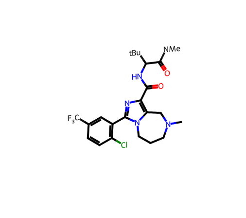 CNC(=O)C(NC(=O)c1nc(-c2cc(C(F)(F)F)ccc2Cl)n2c1CN(C)CCC2)C(C)(C)C